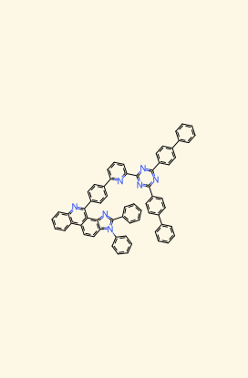 c1ccc(-c2ccc(-c3nc(-c4ccc(-c5ccccc5)cc4)nc(-c4cccc(-c5ccc(-c6nc7ccccc7c7ccc8c(nc(-c9ccccc9)n8-c8ccccc8)c67)cc5)n4)n3)cc2)cc1